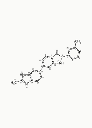 Cc1cccc(C2Nc3ccc(-c4ccc5nc(C)[nH]c5c4)cc3N2)c1